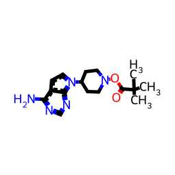 CC(C)(C)C(=O)ON1CCC(n2ccc3c(N)ncnc32)CC1